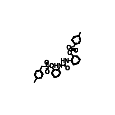 Cc1ccc(CS(=O)(=O)Oc2ccccc2NC(=O)Nc2ccccc2OS(=O)(=O)c2ccc(C)cc2)cc1